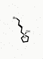 CCC(C)C/C=C/C[PH]1(O)CCCC1